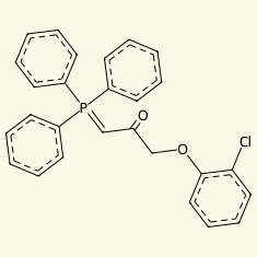 O=C(C=P(c1ccccc1)(c1ccccc1)c1ccccc1)COc1ccccc1Cl